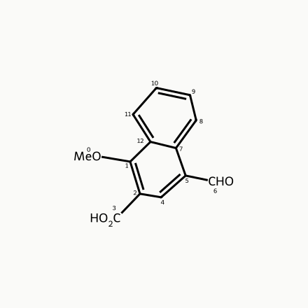 COc1c(C(=O)O)cc(C=O)c2ccccc12